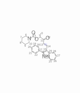 CC(OC(=O)N1CCCCC1)C(=O)/C=C/c1c(-c2ccccc2)nn2ccccc12